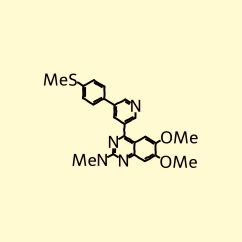 CNc1nc(-c2cncc(-c3ccc(SC)cc3)c2)c2cc(OC)c(OC)cc2n1